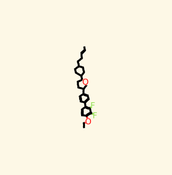 C/C=C/CCC1CCC(C2CCC(c3ccc(-c4ccc(OCC)c(F)c4F)cc3)CO2)CC1